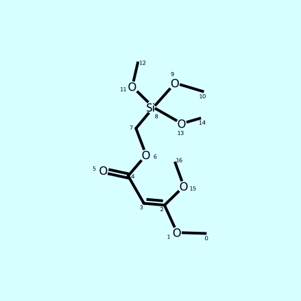 COC(=CC(=O)OC[Si](OC)(OC)OC)OC